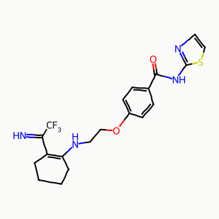 N=C(C1=C(NCCOc2ccc(C(=O)Nc3nccs3)cc2)CCCC1)C(F)(F)F